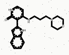 O=c1[nH]ccc(NCCCN2CCOCC2)c1-c1cc2ccccc2[nH]1